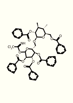 C[C@H]1[C@H](C)[C@@H](COC(=O)c2ccccc2)O[C@@H](OC[C@H]2OC(OC(=N)C(Cl)(Cl)Cl)[C@H](OC(=O)c3ccccc3)[C@@H](OC(=O)c3ccccc3)[C@@H]2OC(=O)c2ccccc2)[C@@H]1OC(=O)c1ccccc1